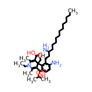 CCCCCCCCCCCCC(N)CCc1c(N)ccc(OC(C)C)c1C1(CC)C(C(=O)O)=C(C)N(CC)C(C)=C1C(=O)O